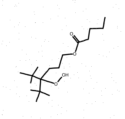 CCCCC(=O)OCCCC(OO)(C(C)(C)C)C(C)(C)C